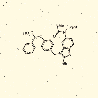 CCCCCN(C(=O)NC)c1ccc2nc(CCCC)n(Cc3ccc(OC(C(=O)O)c4ccccc4)cc3)c2c1